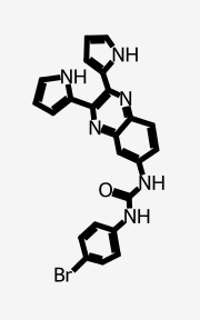 O=C(Nc1ccc(Br)cc1)Nc1ccc2nc(-c3ccc[nH]3)c(-c3ccc[nH]3)nc2c1